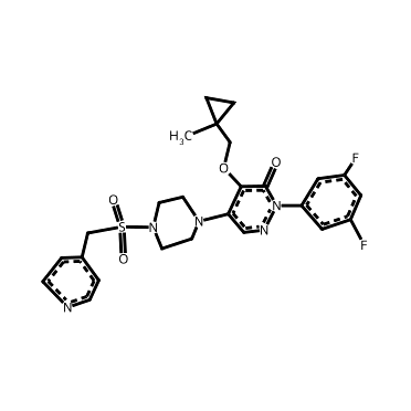 CC1(COc2c(N3CCN(S(=O)(=O)Cc4ccncc4)CC3)cnn(-c3cc(F)cc(F)c3)c2=O)CC1